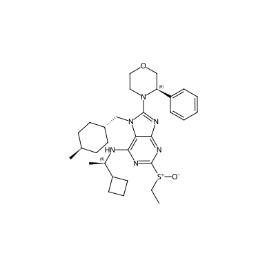 CC[S+]([O-])c1nc(N[C@H](C)C2CCC2)c2c(n1)nc(N1CCOC[C@H]1c1ccccc1)n2C[C@H]1CC[C@H](C)CC1